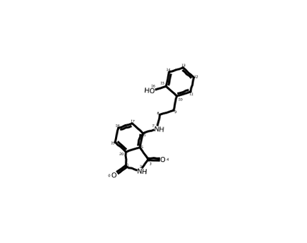 O=C1NC(=O)c2c(NCCc3ccccc3O)cccc21